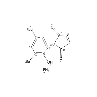 CC(C)(C)c1ccc(O)c(C(C)(C)C)c1.O=C1C=CC(=O)O1.P